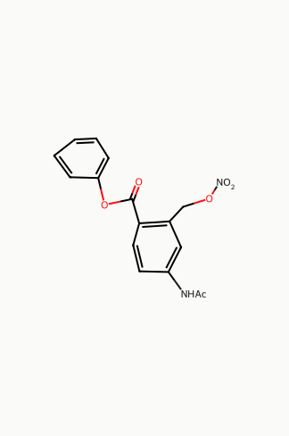 CC(=O)Nc1ccc(C(=O)Oc2ccccc2)c(CO[N+](=O)[O-])c1